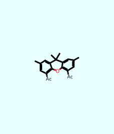 CC(=O)c1cc(C)cc2c1Oc1c(C(C)=O)cc(C)cc1C2(C)C